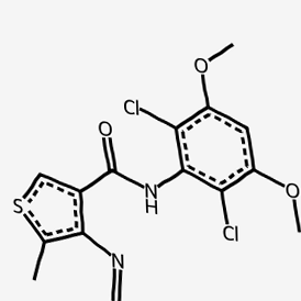 C=Nc1c(C(=O)Nc2c(Cl)c(OC)cc(OC)c2Cl)csc1C